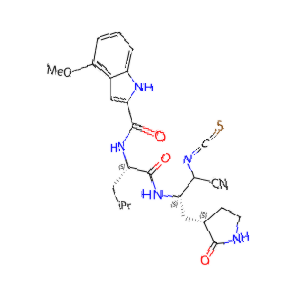 COc1cccc2[nH]c(C(=O)N[C@@H](CC(C)C)C(=O)N[C@@H](C[C@@H]3CCNC3=O)C(C#N)N=C=S)cc12